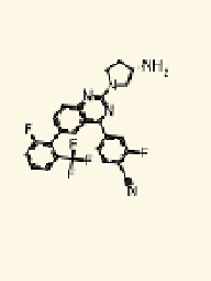 N#Cc1ccc(-c2nc(N3CC[C@H](N)C3)nc3ccc(-c4c(F)cccc4C(F)(F)F)cc23)cc1F